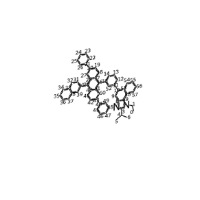 CCn1c(C(C)C)nc2cc(-c3cccc(-c4c5ccc(-c6ccccc6)cc5c(-c5ccc6ccccc6c5)c5ccc(-c6ccccc6)cc45)c3)c3ccccc3c21